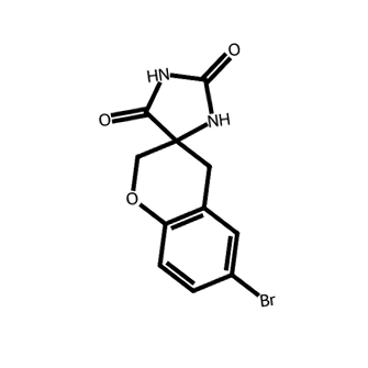 O=C1NC(=O)C2(COc3ccc(Br)cc3C2)N1